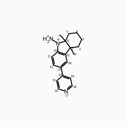 CC12CCCCC1(C)N(N)c1ccc(-c3ccncc3)cc12